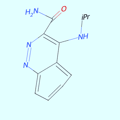 CC(C)Nc1c(C(N)=O)nnc2ccccc12